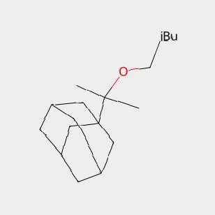 CCC(C)COC(C)(C)C12CC3CC(CC(C3)C1)C2